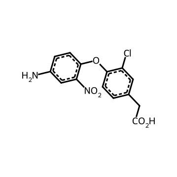 Nc1ccc(Oc2ccc(CC(=O)O)cc2Cl)c([N+](=O)[O-])c1